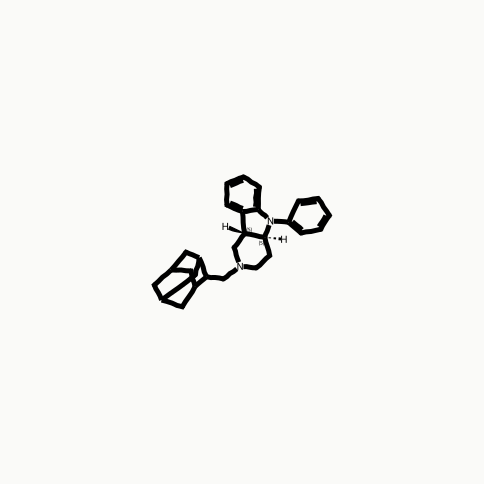 c1ccc(N2c3ccccc3[C@H]3CN(CC4C5CC6CC(C5)CC4C6)CC[C@@H]32)cc1